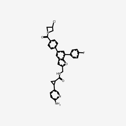 Nc1ccc(C2CC2C(=O)NCc2cc3cc(-c4ccc(C(=O)N5CC(Cl)C5)cc4)cc(-c4ccc(F)cc4)c3o2)cn1